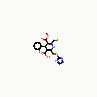 COC(=O)C1=C(CF)NC(CSc2ncc[nH]2)=C(C(=O)O)C1c1ccccc1Cl